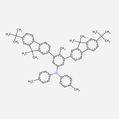 Cc1ccc(N(c2ccc(C)cc2)c2cc(-c3ccc4c(c3)C(C)(C)c3cc(C(C)(C)C)ccc3-4)c(C)c(-c3ccc4c(c3)C(C)(C)c3cc(C(C)(C)C)ccc3-4)c2)cc1